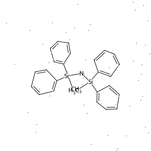 C[Si]([N][Si](C)(c1ccccc1)c1ccccc1)(c1ccccc1)c1ccccc1